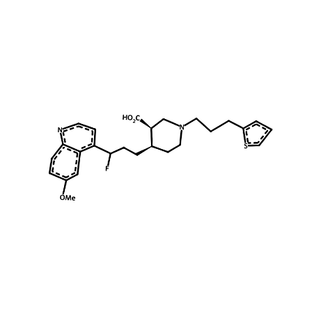 COc1ccc2nccc(C(F)CC[C@@H]3CCN(CCCc4cccs4)C[C@@H]3C(=O)O)c2c1